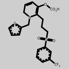 O=C(O)OC1=C(CCCS(=O)(=O)c2cccc(C(F)(F)F)c2)N(Cc2cccs2)CC=C1